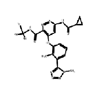 [2H]C([2H])([2H])NC(=O)c1nnc(NC(=O)C2CC2)cc1Nc1cccc(-c2nnnn2C)c1C